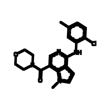 Cc1ccc(Cl)c(Nc2ncc(C(=O)N3CCOCC3)c3c2ccn3C)c1